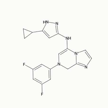 Fc1cc(F)cc(N2C=C(Nc3cc(C4CC4)[nH]n3)[N+]3C=CN=C3C2)c1